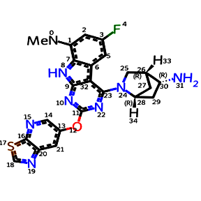 CNc1cc(F)cc2c1[nH]c1nc(Oc3cnc4scnc4c3)nc(N3C[C@H]4C[C@@H]3C[C@H]4N)c12